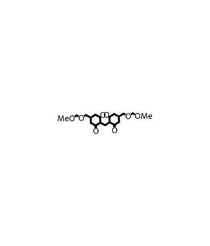 COCOCC1CC(=O)C(CC2C(=O)CC(COCOC)CC2=O)C(=O)C1